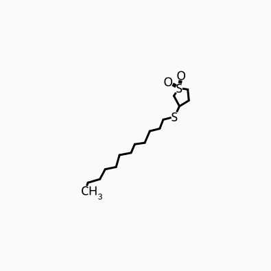 CCCCCCCCCCCCSC1CCS(=O)(=O)C1